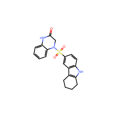 O=C1CN(S(=O)(=O)c2ccc3[nH]c4c(c3c2)CCCC4)c2ccccc2N1